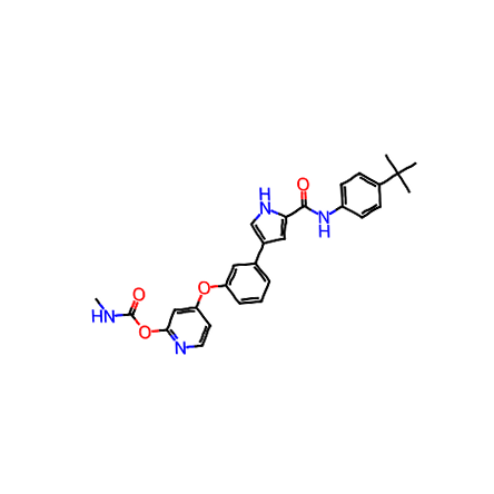 CNC(=O)Oc1cc(Oc2cccc(-c3c[nH]c(C(=O)Nc4ccc(C(C)(C)C)cc4)c3)c2)ccn1